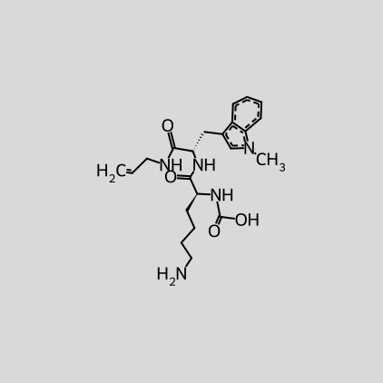 C=CCNC(=O)[C@H](Cc1cn(C)c2ccccc12)NC(=O)[C@H](CCCCN)NC(=O)O